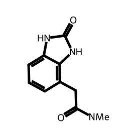 CNC(=O)Cc1cccc2[nH]c(=O)[nH]c12